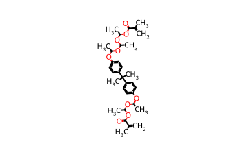 C=C(C)C(=O)OC(C)OC(C)Oc1ccc(C(C)(C)c2ccc(OC(C)OC(C)OC(C)OC(=O)C(=C)C)cc2)cc1